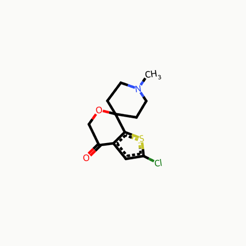 CN1CCC2(CC1)OCC(=O)c1cc(Cl)sc12